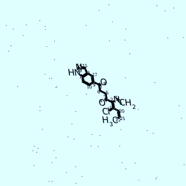 C=N/C(C(=O)CCC(=O)c1ccc2[nH]ncc2c1)=C(Cl)\C=C/C